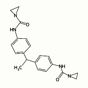 CC(c1ccc(NC(=O)N2CC2)cc1)c1ccc(NC(=O)N2CC2)cc1